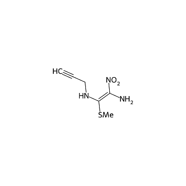 C#CCNC(SC)=C(N)[N+](=O)[O-]